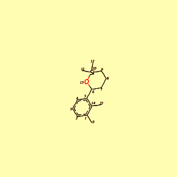 Cc1cccc(C2CCC[Si](C)(C)O2)c1C